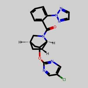 O=C(c1ccccc1-n1nccn1)N1C[C@@H]2CC[C@H]1[C@H](Oc1ncc(Cl)cn1)C2